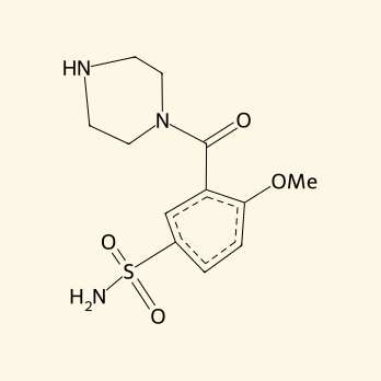 COc1ccc(S(N)(=O)=O)cc1C(=O)N1CCNCC1